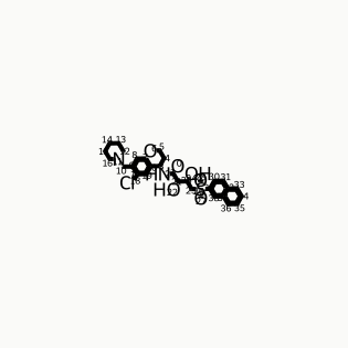 O=C(NC1CCOc2cc(CN3CCCCC3)c(Cl)cc21)[C@H](O)[C@H](O)CS(=O)(=O)c1ccc2ccccc2c1